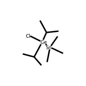 C[CH](C)[Ge]([Cl])([CH](C)C)[Sn]([CH3])([CH3])[CH3]